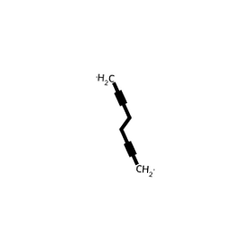 [CH2]C#CCCC#C[CH2]